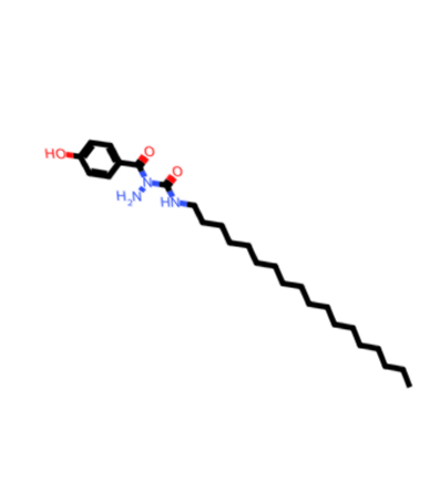 CCCCCCCCCCCCCCCCCCNC(=O)N(N)C(=O)c1ccc(O)cc1